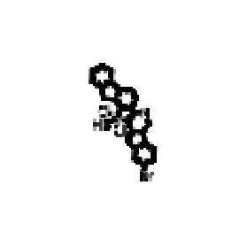 [SH][Zr]([Cl])([Cl])([C]1=CN=CC2C1=Cc1cc(Br)ccc12)[c]1cccc2c1Cc1ccccc1-2